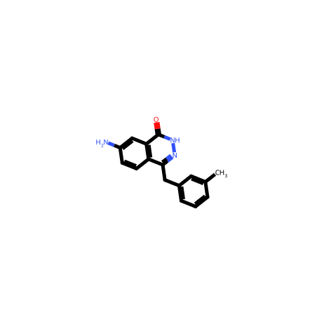 Cc1cccc(Cc2n[nH]c(=O)c3cc(N)ccc23)c1